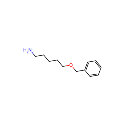 NCCCCCOCc1ccccc1